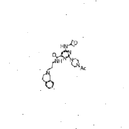 CC(=O)N1CCN(c2nc(NC3COC3)cc(C(=O)NCCCN3CCc4ccccc4C3)n2)CC1